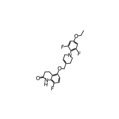 CCOc1cc(F)c(N2CC=C(COc3ccc(F)c4c3CCC(=O)N4)CC2)c(F)c1